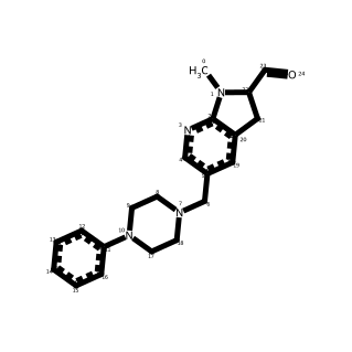 CN1c2ncc(CN3CCN(c4ccccc4)CC3)cc2CC1C=O